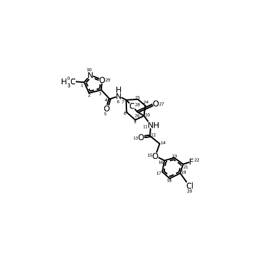 Cc1cc(C(=O)NC23CCC(NC(=O)COc4ccc(Cl)c(F)c4)(CC2)C(=O)C3)on1